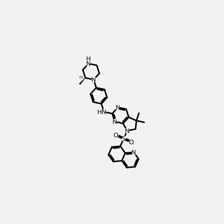 C[C@H]1CNCCN1c1ccc(Nc2ncc3c(n2)N(S(=O)(=O)c2cccc4cccnc24)CC3(C)C)cc1